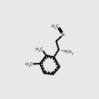 C=NC[C@H](C)c1cccc(C)c1C